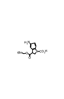 CC(C)(C)COC(=O)C1CN(C(=O)O)c2ccc(N)cc21